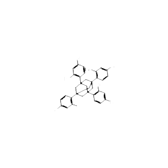 Brc1ccc(C23CC4(c5ccc(Br)cc5Br)CC(c5ccc(Br)cc5Br)(C2)CC(c2ccc(Br)cc2Br)(C3)C4)c(Br)c1